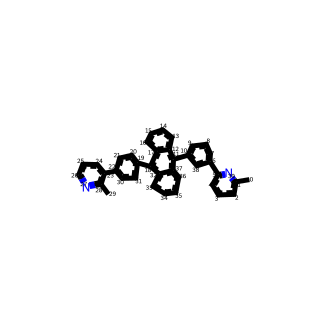 Cc1cccc(-c2cccc(-c3c4ccccc4c(-c4ccc(-c5cccnc5C)cc4)c4ccccc34)c2)n1